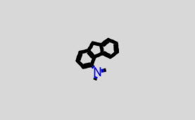 CN(C)c1cccc2c1-c1ccccc1C2